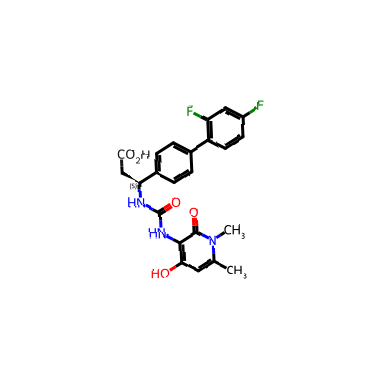 Cc1cc(O)c(NC(=O)N[C@@H](CC(=O)O)c2ccc(-c3ccc(F)cc3F)cc2)c(=O)n1C